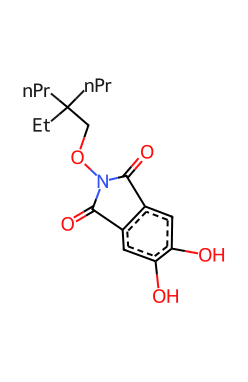 CCCC(CC)(CCC)CON1C(=O)c2cc(O)c(O)cc2C1=O